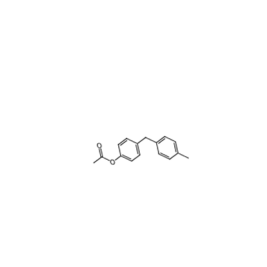 CC(=O)Oc1ccc(Cc2ccc(C)cc2)cc1